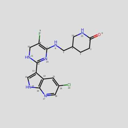 O=C1CCC(CNC2=C(F)CNC(c3c[nH]c4ncc(Cl)cc34)=N2)CN1